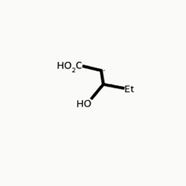 CCC(O)[CH]C(=O)O